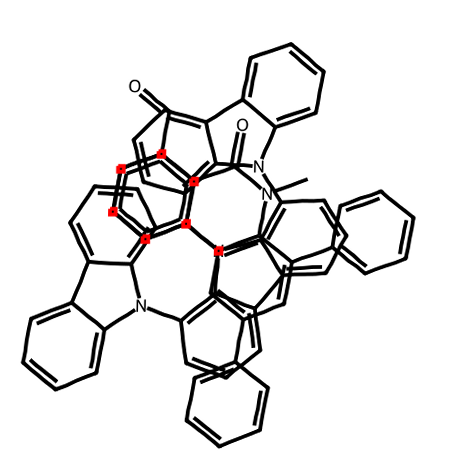 CN(C(=O)c1c(C=O)cccc1-n1c2c(-n3c4ccccc4c4ccccc43)cccc2c2cccc(-n3c4ccccc4c4ccccc43)c21)c1c(-c2ccccc2)cc(-c2ccccc2)cc1-c1ccccc1